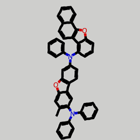 Cc1cc2oc3cc(N(c4ccccc4)c4cccc5oc6c7ccccc7ccc6c45)ccc3c2cc1N(c1ccccc1)c1ccccc1